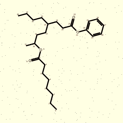 CCCCCCCC(=O)OC(C)CCC(CCCC)CCC(=O)Oc1ccccc1